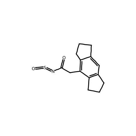 O=S=NC(=O)Cc1c2c(cc3c1CCC3)CCC2